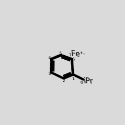 CC(C)c1ccccc1.[Fe+]